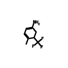 CC1=CC=C(N)CC1C(F)(F)F